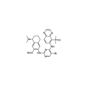 COc1cc2c(cc1Nc1ncc(Br)c(Nc3ccc4nccnc4c3P(C)(C)=O)n1)CCC[C@@H]2N(C)C